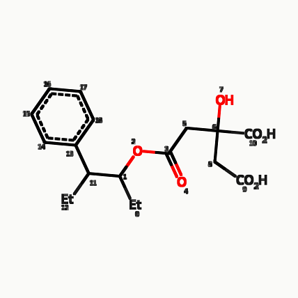 CCC(OC(=O)CC(O)(CC(=O)O)C(=O)O)C(CC)c1ccccc1